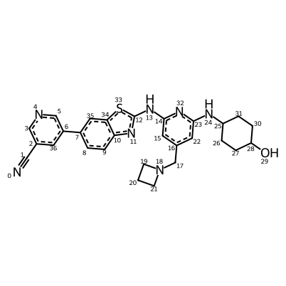 N#Cc1cncc(-c2ccc3nc(Nc4cc(CN5CCC5)cc(NC5CCC(O)CC5)n4)sc3c2)c1